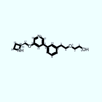 OCCOCCc1cccc(-c2cncc(OC[C@@H]3CCN3)c2)c1